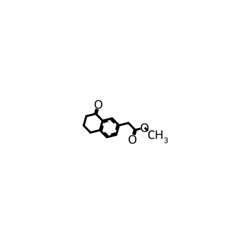 COC(=O)Cc1ccc2c(c1)C(=O)CCC2